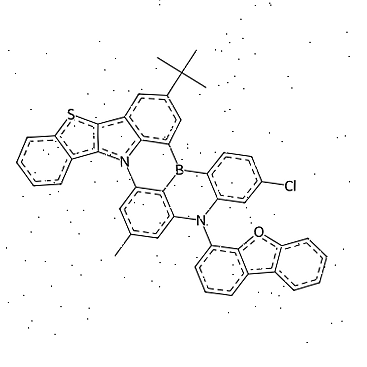 Cc1cc2c3c(c1)-n1c4c(cc(C(C)(C)C)cc4c4sc5ccccc5c41)B3c1ccc(Cl)cc1N2c1cccc2c1oc1ccccc12